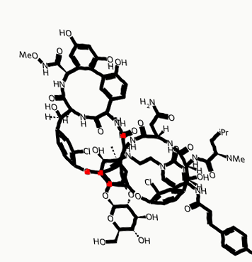 CN[C@H](CC(C)C)C(=O)N[C@H]1C(=O)N[C@@H](CC(N)=O)C(=O)N[C@H]2C(=O)N[C@H]3C(=O)N[C@H](C(=O)N[C@@H](C(=O)NOC)c4cc(O)cc(O)c4-c4cc3ccc4O)[C@H](O)c3ccc(c(Cl)c3)Oc3cc2cc(c3O[C@@H]2O[C@H](CO)[C@@H](O)[C@H](O)[C@H]2O[C@H]2C[C@](C)(NCCn3ccc(NC(=O)/C=C/c4ccc(Cl)cc4)nc3=O)[C@H](O)[C@H](C)O2)Oc2ccc(cc2Cl)[C@H]1O